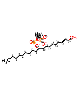 CCCCCCCCCCCCCCCCC=CCO.O=[PH]([O-])O[PH](=O)[O-].[Na+].[Na+]